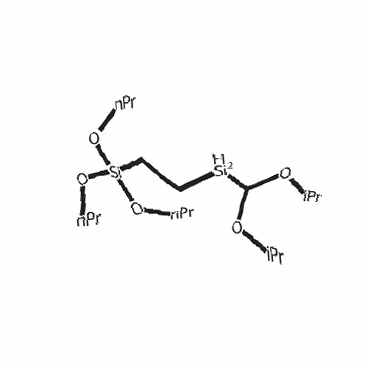 CCCO[Si](CC[SiH2]C(OC(C)C)OC(C)C)(OCCC)OCCC